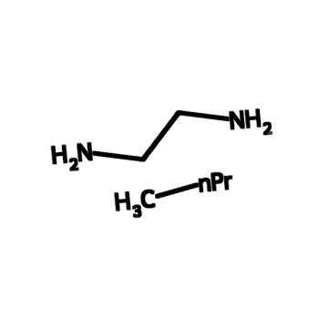 CCCC.NCCN